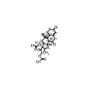 CCC(=O)OCC(=O)[C@]1(OC(=O)CC)[C@H](C)C[C@H]2[C@@H]3[C@H](Cl)CC4=CC(=O)CC[C@]4(C)[C@H]3C(=O)C[C@@]21C